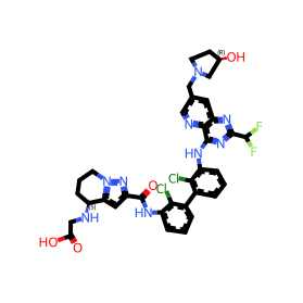 O=C(O)CN[C@H]1CCCn2nc(C(=O)Nc3cccc(-c4cccc(Nc5nc(C(F)F)nc6cc(CN7CC[C@@H](O)C7)cnc56)c4Cl)c3Cl)cc21